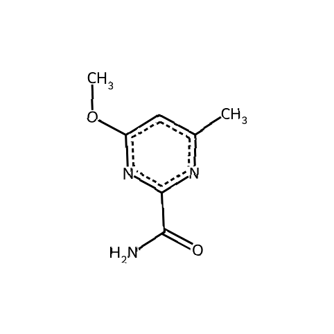 COc1cc(C)nc(C(N)=O)n1